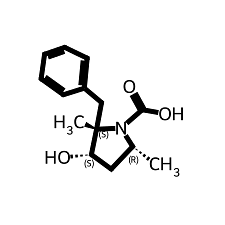 C[C@@H]1C[C@H](O)[C@](C)(Cc2ccccc2)N1C(=O)O